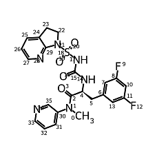 CN(C(=O)[C@H](Cc1cc(F)cc(F)c1)NC(=O)NS(=O)(=O)N1CCc2cccnc21)c1cccnc1